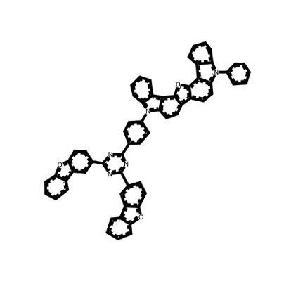 c1ccc(-n2c3ccccc3c3c4oc5c(ccc6c5c5ccccc5n6-c5ccc(-c6nc(-c7ccc8oc9ccccc9c8c7)nc(-c7ccc8oc9ccccc9c8c7)n6)cc5)c4ccc32)cc1